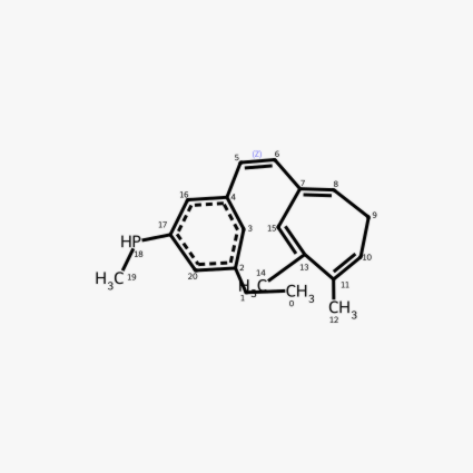 CCc1cc(/C=C\C2=CCC=C(C)C(C)=C2)cc(PC)c1